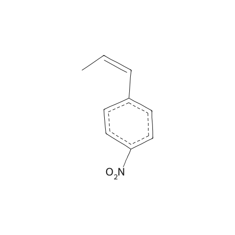 C/C=C\c1ccc([N+](=O)[O-])cc1